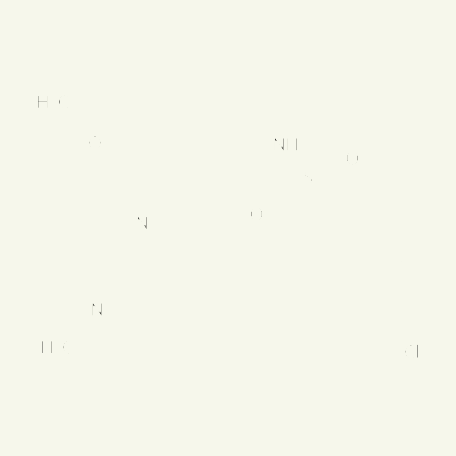 COc1ccc(NS(=O)(=O)c2ccc(Cl)cc2)cc1N1CCN(C)CC1